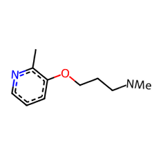 CNCCCOc1cccnc1C